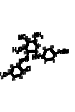 CCCCc1ccc(Nc2nc(N)c(C#N)c(C)c2/N=N/c2cc(C(F)(F)F)ccc2Cl)cc1